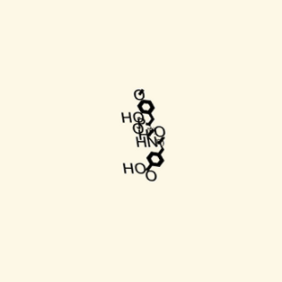 COc1ccc(CC([C@H]2CN[C@H](Cc3ccc(C(=O)O)cc3)CO2)[PH](=O)O)cc1